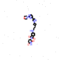 O=C1CCC(N2C(=O)c3ccc(NCCCC4CC(n5cc(-c6ccnc(N7CCOCC7)n6)cn5)C4)cc3C2=O)C(=O)N1